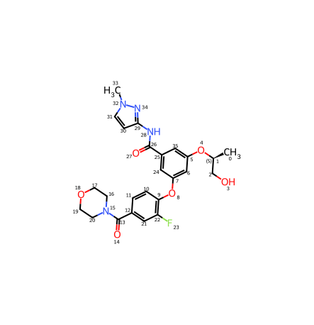 C[C@@H](CO)Oc1cc(Oc2ccc(C(=O)N3CCOCC3)cc2F)cc(C(=O)Nc2ccn(C)n2)c1